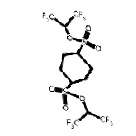 O=S(=O)(OC(C(F)(F)F)C(F)(F)F)C1CCC(S(=O)(=O)OC(C(F)(F)F)C(F)(F)F)CC1